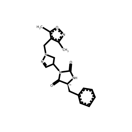 Cc1noc(C)c1CN1CC(N2C(=O)N[C@@H](Cc3ccccc3)C2=O)C=N1